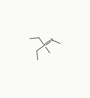 CCP(C)(CC)=NC